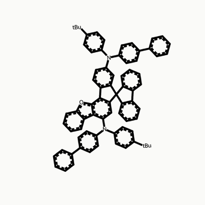 CC(C)(C)c1ccc(N(c2ccc(-c3ccccc3)cc2)c2ccc3c(c2)C2(c4ccccc4-c4ccccc42)c2cc(N(c4ccc(-c5ccccc5)cc4)c4ccc(C(C)(C)C)cc4)c4c(oc5ccccc54)c2-3)cc1